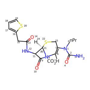 CCCN(C(N)=O)C1=C(C(=O)O)N2C(=O)C(NC(=O)Cc3cccs3)[C@H]2SC1